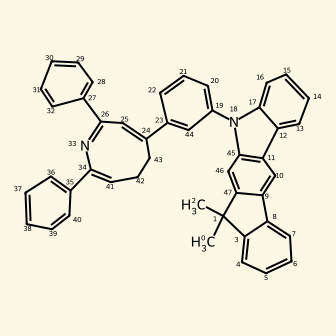 CC1(C)c2ccccc2-c2cc3c4ccccc4n(-c4cccc(/C5=C/C(c6ccccc6)=N\C(c6ccccc6)=C/CC5)c4)c3cc21